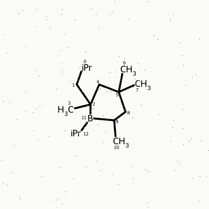 CC(C)CC1(C)CC(C)(C)CC(C)B1C(C)C